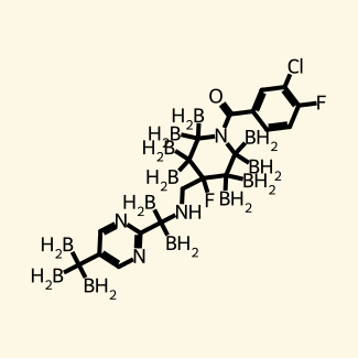 BC(B)(B)c1cnc(C(B)(B)NCC2(F)C(B)(B)C(B)(B)N(C(=O)c3ccc(F)c(Cl)c3)C(B)(B)C2(B)B)nc1